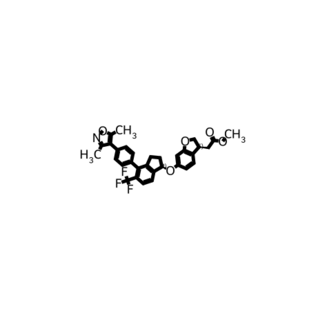 COC(=O)C[C@@H]1COc2cc(O[C@@H]3CCc4c3ccc(C(F)(F)F)c4-c3ccc(-c4c(C)noc4C)cc3)ccc21